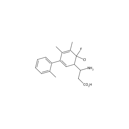 CC1=C(C)C(F)(Cl)C(C(N)CC(=O)O)C=C1c1ccccc1C